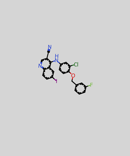 N#Cc1cnc2ccc(I)cc2c1Nc1ccc(OCc2cccc(F)c2)c(Cl)c1